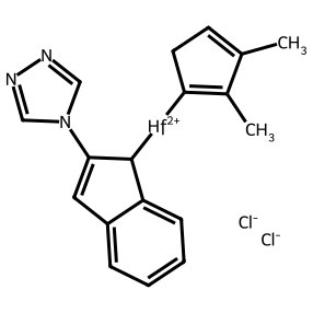 CC1=CC[C]([Hf+2][CH]2C(n3cnnc3)=Cc3ccccc32)=C1C.[Cl-].[Cl-]